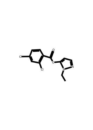 CCn1nccc1OC(=O)c1ccc(Cl)cc1Cl